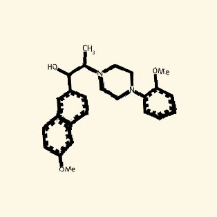 COc1ccc2cc(C(O)C(C)N3CCN(c4ccccc4OC)CC3)ccc2c1